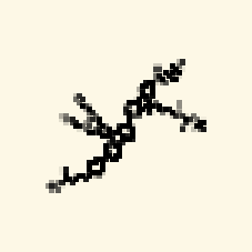 COCCOCCCC1(CCCOCCOC)c2cc(-c3ccc(CCCC(=O)O)cc3)ccc2-c2ccc(-c3ccc4c(c3)C(C)(CCCCNC(=O)OC(C)(C)C)c3cc(BOC(C)(C)C(C)(C)O)ccc3-4)cc21